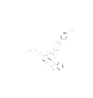 NCCn1cnc2c(-n3ncc4ccccc43)nc(N3CCN(c4ccc(O)cc4)CC3)nc21